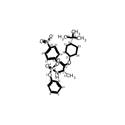 C[C@H](NP(=O)(Oc1ccccc1)Oc1ccc([N+](=O)[O-])cc1)C(=O)O[C@H]1CC[C@H](C(C)(C)C)CC1